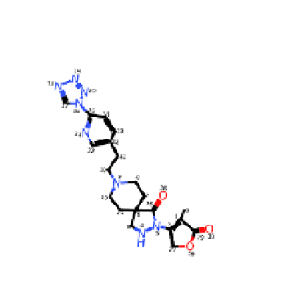 CC1=C(N2NCC3(CCN(CCc4ccc(-n5cnnn5)nc4)CC3)C2=O)COC1=O